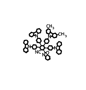 Cc1ccc2c(c1)c1cc(C)ccc1n2-c1ccc(-c2c(-c3ccc(-n4c5ccccc5c5ccccc54)cc3)c(-c3ccc(-n4c5ccccc5c5ccccc54)cc3)c(C#N)c(-c3nc4ccccc4o3)c2-c2ccc(-n3c4ccccc4c4ccccc43)cc2)cc1